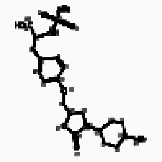 CCCCS(=O)(=O)NC(Cc1ccc(OCC2CN(C3CCN(C(C)C)CC3)C(=O)O2)cc1)C(=O)O